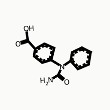 NC(=O)N(c1cc[c]cc1)c1ccc(C(=O)O)cc1